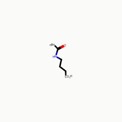 [CH2]CCCC(=O)NCCCC(=O)O